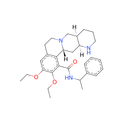 CCOc1cc2c(c(C(=O)NC(C)c3ccccc3)c1OCC)[C@H]1C[C@@H]3NCCC[C@@H]3CN1CC2